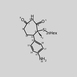 CCCCCCS[C@@]1(I)C(=O)NC(=O)CCC1c1ccc(N)cc1